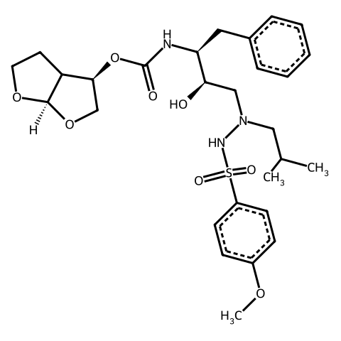 COc1ccc(S(=O)(=O)NN(CC(C)C)C[C@@H](O)[C@H](Cc2ccccc2)NC(=O)O[C@H]2CO[C@H]3OCCC32)cc1